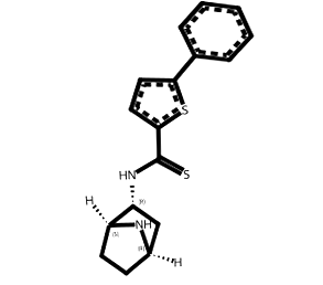 S=C(N[C@@H]1C[C@H]2CC[C@@H]1N2)c1ccc(-c2ccccc2)s1